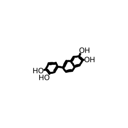 Oc1ccc(-c2ccc3cc(O)c(O)cc3c2)cc1O